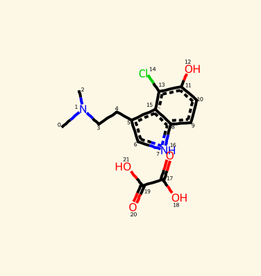 CN(C)CCc1c[nH]c2ccc(O)c(Cl)c12.O=C(O)C(=O)O